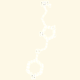 NCCc1nc(COc2ccncc2)cs1